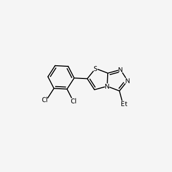 CCc1nnc2sc(-c3cccc(Cl)c3Cl)cn12